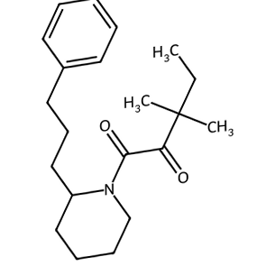 CCC(C)(C)C(=O)C(=O)N1CCCCC1CCCc1ccccc1